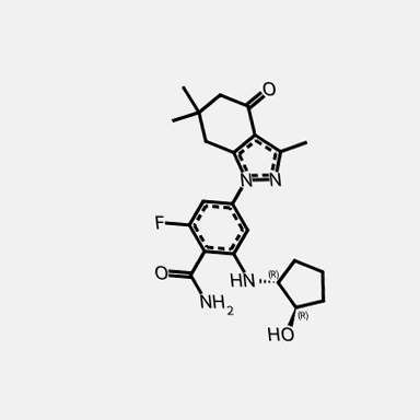 Cc1nn(-c2cc(F)c(C(N)=O)c(N[C@@H]3CCC[C@H]3O)c2)c2c1C(=O)CC(C)(C)C2